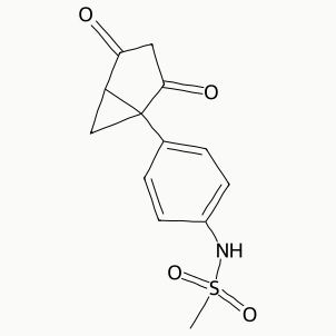 CS(=O)(=O)Nc1ccc(C23CC2C(=O)CC3=O)cc1